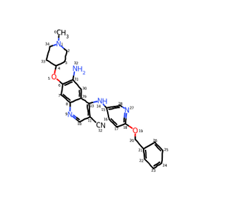 CN1CCC(Oc2cc3ncc(C#N)c(Nc4ccc(OCc5ccccc5)nc4)c3cc2N)CC1